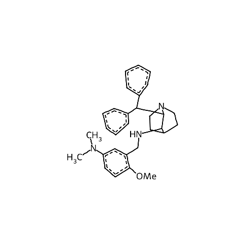 COc1ccc(N(C)C)cc1CNC1C2CCN(CC2)C1C(c1ccccc1)c1ccccc1